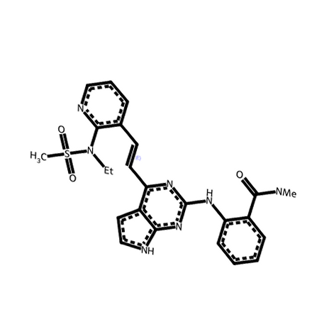 CCN(c1ncccc1/C=C/c1nc(Nc2ccccc2C(=O)NC)nc2[nH]ccc12)S(C)(=O)=O